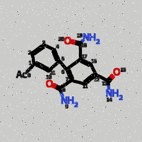 CC(=O)c1cccc(-c2c(C(N)=O)cc(C(N)=O)cc2C(N)=O)c1